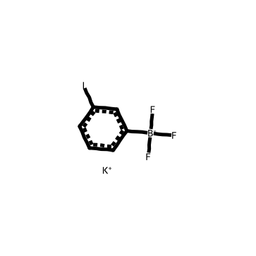 F[B-](F)(F)c1cccc(I)c1.[K+]